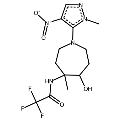 Cn1ncc([N+](=O)[O-])c1N1CCC(O)C(C)(NC(=O)C(F)(F)F)CC1